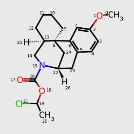 COc1ccc2c(c1)[C@]13CCCC[C@@H]1CN(C(=O)OC(C)Cl)[C@@H](C2)C3